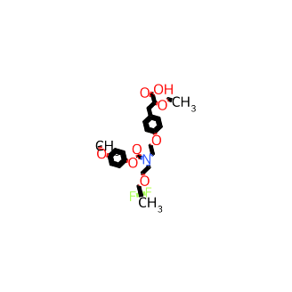 CCOC(Cc1ccc(OCCN(CCOCC(C)(F)F)C(=O)Oc2ccc(OC)cc2)cc1)C(=O)O